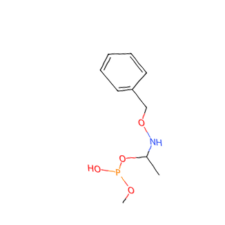 COP(O)OC(C)NOCc1ccccc1